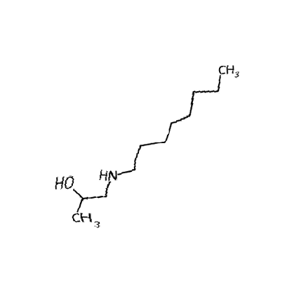 CCCCCCCCNC[C](C)O